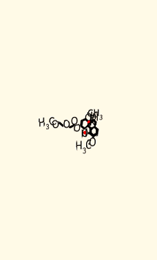 COCCOCC(=O)OC1=CC[C@@]2(O)[C@H]3Cc4ccc(OC)c5c4[C@@]2(CCN3C)[C@H]1O5